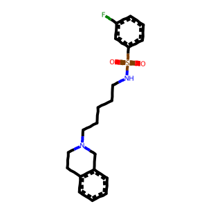 O=S(=O)(NCCCCCN1CCc2ccccc2C1)c1cccc(F)c1